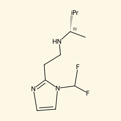 CC(C)[C@H](C)NCCc1nccn1C(F)F